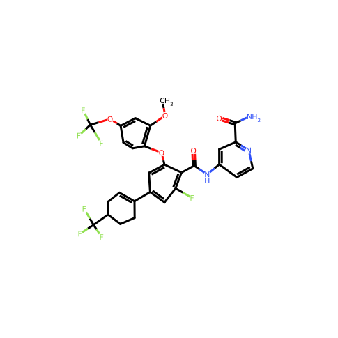 COc1cc(OC(F)(F)F)ccc1Oc1cc(C2=CCC(C(F)(F)F)CC2)cc(F)c1C(=O)Nc1ccnc(C(N)=O)c1